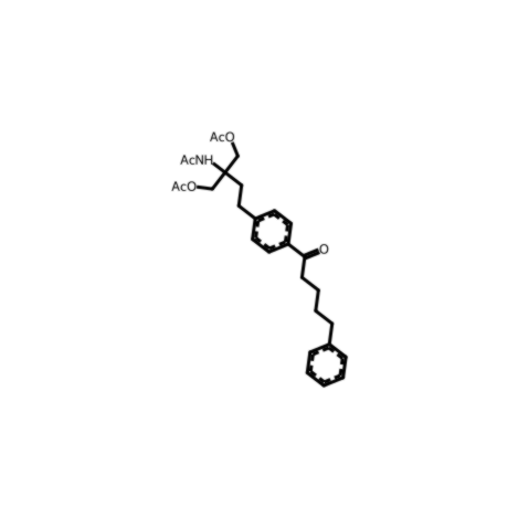 CC(=O)NC(CCc1ccc(C(=O)CCCCc2ccccc2)cc1)(COC(C)=O)COC(C)=O